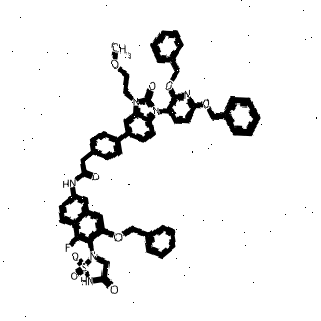 COCCn1c(=O)n(-c2ccc(OCc3ccccc3)nc2OCc2ccccc2)c2ccc(-c3ccc(CC(=O)Nc4ccc5c(F)c(N6CC(=O)NS6(=O)=O)c(OCc6ccccc6)cc5c4)cc3)cc21